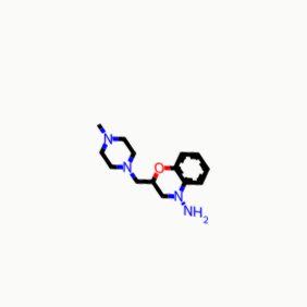 CN1CCN(CC2CN(N)c3ccccc3O2)CC1